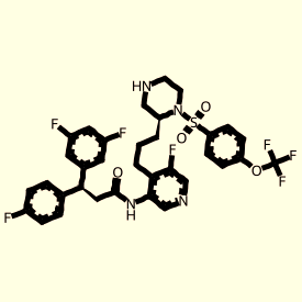 O=C(C[C@@H](c1ccc(F)cc1)c1cc(F)cc(F)c1)Nc1cncc(F)c1CCC[C@H]1CNCCN1S(=O)(=O)c1ccc(OC(F)(F)F)cc1